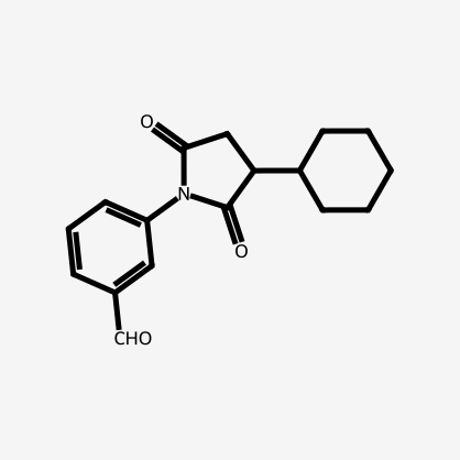 O=Cc1cccc(N2C(=O)CC(C3CCCCC3)C2=O)c1